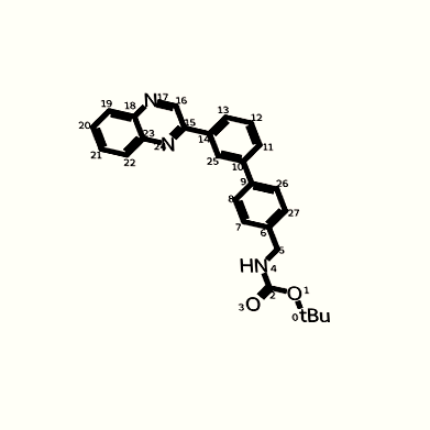 CC(C)(C)OC(=O)NCc1ccc(-c2cccc(-c3cnc4ccccc4n3)c2)cc1